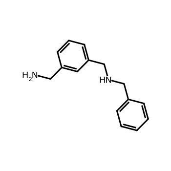 NCc1cccc(CNCc2ccccc2)c1